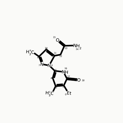 CCc1c(C)cc(-n2nc(C)cc2CC(N)=O)[nH]c1=O